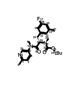 Cc1ccc(N(C)C(=O)[C@H](Cc2cc(F)cc(F)c2)N(C)C(=O)OC(C)(C)C)cn1